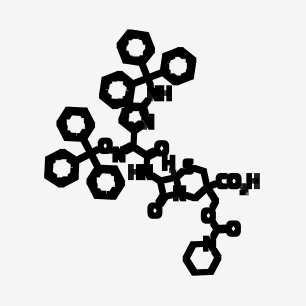 O=C(NC1C(=O)N2CC(COC(=O)N3CCCCC3)(C(=O)O)CS[C@H]12)C(=NOC(c1ccccc1)(c1ccccc1)c1ccccc1)c1csc(NC(c2ccccc2)(c2ccccc2)c2ccccc2)n1